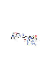 CN1CCOC2(CCN(c3ccc(Cn4c(=O)[nH]c5c(N)nc(P(C)(C)=O)nc54)cn3)CC2)C1